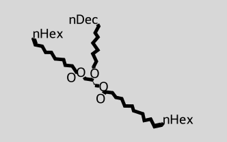 CCCCCC/C=C\CCCCCCCCCC(=O)OC[C@H](COC(=O)CCCCCCC/C=C\CCCCCC)OCCCCCCCCCCCCCCCCCC